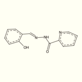 O=C(N/N=C/c1ccccc1O)c1ccccn1